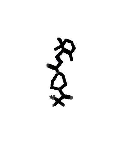 CC1=C(/C=C/C(=O)N2CCN(C(=O)C(F)(F)P)CC2)C(C)(C)CCC1